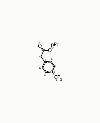 CCCOC(=O)Cc1ccc(C(F)(F)F)cc1